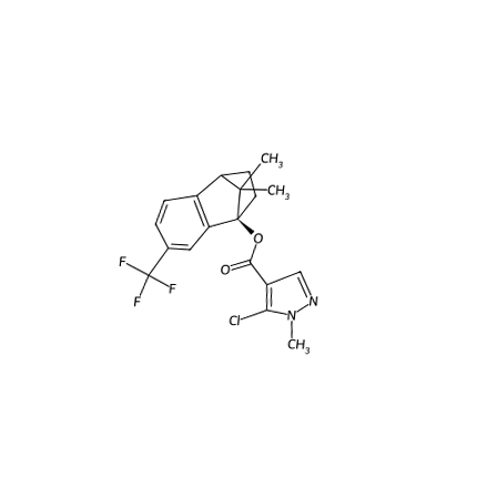 Cn1ncc(C(=O)O[C@@]23CCC(c4ccc(C(F)(F)F)cc42)C3(C)C)c1Cl